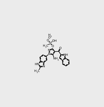 CS(=O)(=O)O.Cc1nc2cc(-n3ncc(C(=O)c4cc5ccccc5[nH]4)c3N)ccc2[nH]1.O